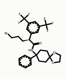 O=C(NC1(c2ccccc2)CCC2(CC1)OCCO2)[C@@H](CCCBr)c1cc(C(F)(F)F)cc(C(F)(F)F)c1